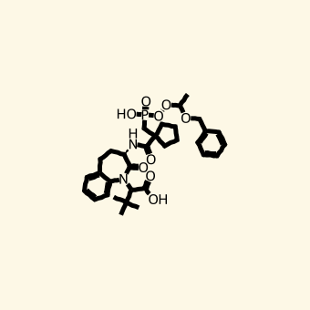 CC(OCc1ccccc1)OOP(=O)(O)CC1(C(=O)N[C@H]2CCc3ccccc3N(C(C(=O)O)C(C)(C)C)C2=O)CCCC1